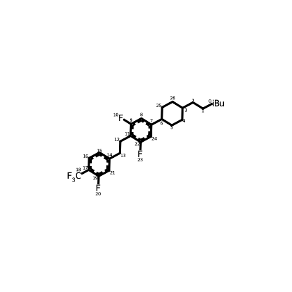 CCC(C)CCC1CCC(c2cc(F)c(CCc3ccc(C(F)(F)F)c(F)c3)c(F)c2)CC1